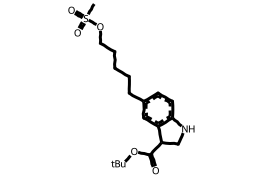 CC(C)(C)OC(=O)C1CNc2ccc(CCCCCOS(C)(=O)=O)cc21